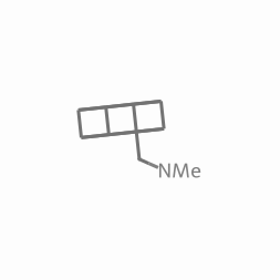 CNCC12C3C4C5C3C1C5C42